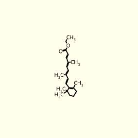 CCOC(=O)/C=C/C(C)=C/C=C(C)/C=C/C1=C(C)CCCC1(C)C